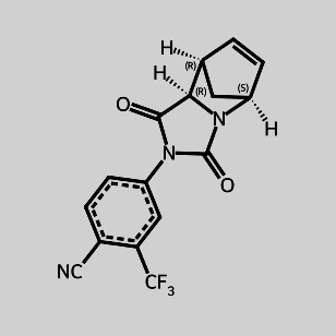 N#Cc1ccc(N2C(=O)[C@H]3[C@H]4C=C[C@H](C4)N3C2=O)cc1C(F)(F)F